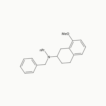 CCCN(Cc1ccccc1)C1CCc2cccc(OC)c2C1